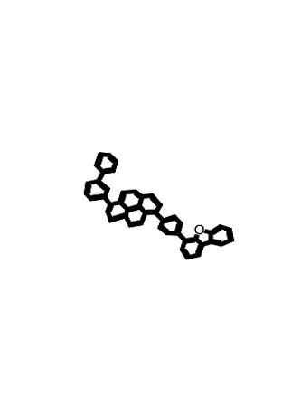 c1ccc(-c2cccc(-c3ccc4ccc5c(-c6ccc(-c7cccc8c7oc7ccccc78)cc6)ccc6ccc3c4c65)c2)cc1